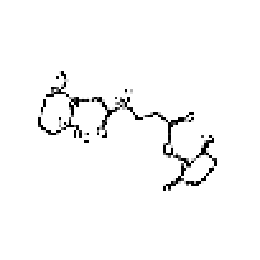 [13CH3][13CH]1CCC[13CH]([13CH3])N1CC(=O)[15NH]CCC(=O)ON1C(=O)CCC1=O